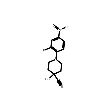 N#CC1(O)CCN(c2ccc([N+](=O)[O-])cc2F)CC1